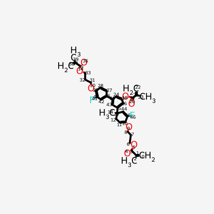 C=C(C)C(=O)OCCCOC1=CCC(C)(c2cc(OC(=O)C(=C)C)cc(-c3ccc(OCCCOC(=O)C(=C)C)c(F)c3)c2)C=C1F